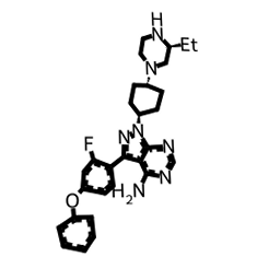 CC[C@H]1CN([C@H]2CC[C@H](n3nc(-c4ccc(Oc5ccccc5)cc4F)c4c(N)ncnc43)CC2)CCN1